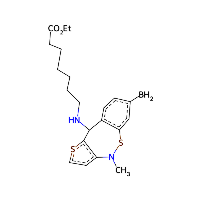 Bc1ccc2c(c1)SN(C)c1ccsc1C2NCCCCCCC(=O)OCC